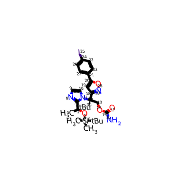 CC(O[Si](C)(C)C(C)(C)C)c1nccn1[C@@](COC(N)=O)(c1cc(-c2ccc(I)cc2)on1)C(C)(C)C